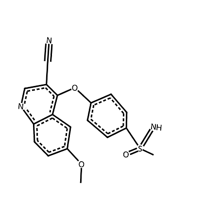 COc1ccc2ncc(C#N)c(Oc3ccc(S(C)(=N)=O)cc3)c2c1